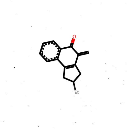 C=C1C(=O)c2ccccc2C2=C1CC(CC)C2